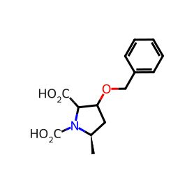 C[C@@H]1CC(OCc2ccccc2)C(C(=O)O)N1C(=O)O